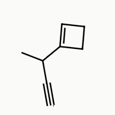 [C]#CC(C)C1=CCC1